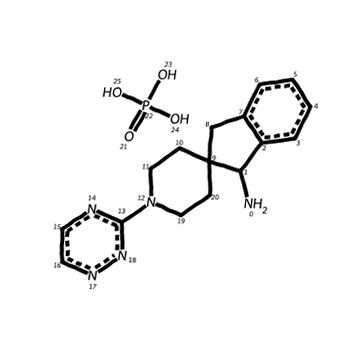 NC1c2ccccc2CC12CCN(c1nccnn1)CC2.O=P(O)(O)O